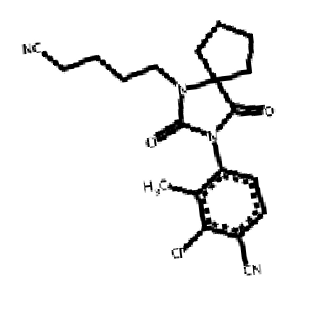 Cc1c(N2C(=O)N(CCCCC#N)C3(CCCC3)C2=O)ccc(C#N)c1Cl